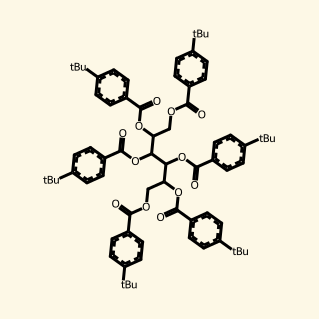 CC(C)(C)c1ccc(C(=O)OCC(OC(=O)c2ccc(C(C)(C)C)cc2)C(OC(=O)c2ccc(C(C)(C)C)cc2)C(OC(=O)c2ccc(C(C)(C)C)cc2)C(COC(=O)c2ccc(C(C)(C)C)cc2)OC(=O)c2ccc(C(C)(C)C)cc2)cc1